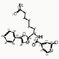 CCC(=O)CCCCCC(NC(=O)c1ccnc(Cl)c1)c1ncc(-c2ccccc2)o1